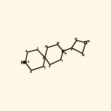 C1CC2(CCN1)CCN(C1COC1)CC2